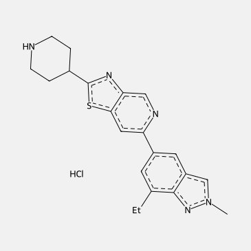 CCc1cc(-c2cc3sc(C4CCNCC4)nc3cn2)cc2cn(C)nc12.Cl